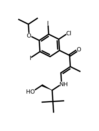 CC(=CN[C@H](CO)C(C)(C)C)C(=O)c1cc(I)c(OC(C)C)c(I)c1Cl